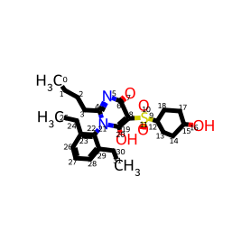 CCCCc1nc(=O)c(S(=O)(=O)C2CCC(O)CC2)c(O)n1-c1c(CC)cccc1CC